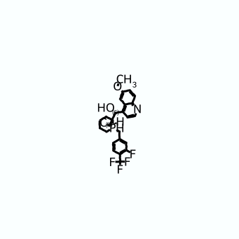 COc1ccc2nccc([C@H](O)[C@H]3CC4CC[PH]3(Cc3ccc(C(F)(F)F)c(F)c3)CC4)c2c1